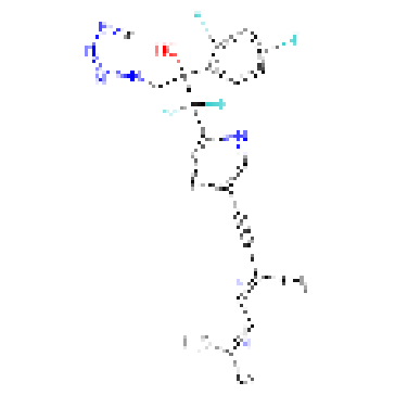 C/C(C#N)=C\C=C(/C)C#Cc1ccc(C(F)(F)C(O)(Cn2cnnn2)c2ccc(F)cc2F)nc1